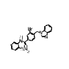 Nc1ccccc1NC(=O)c1ccc(Cn2cnc3ccccc32)c(Br)c1